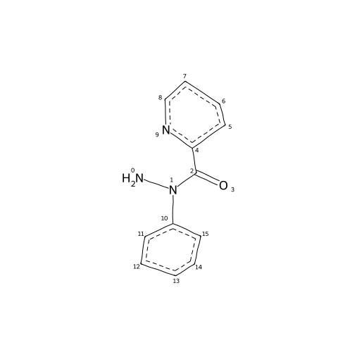 NN(C(=O)c1ccccn1)c1ccccc1